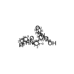 Cc1ccc(NC(=O)c2ccc3c(c2)C(F)(F)CC3)cc1-c1cc(OCCO)nc(N2CCOCC2)c1